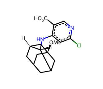 CO[C@]12CC3CC(C1)[C@@H](Nc1cc(Cl)ncc1C(=O)O)[C@@H](C3)C2